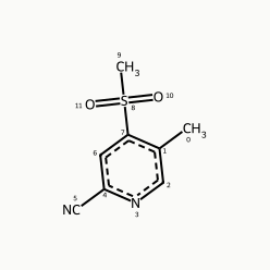 Cc1cnc(C#N)cc1S(C)(=O)=O